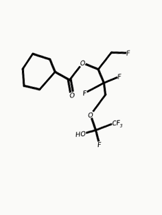 O=C(OC(CF)C(F)(F)COC(O)(F)C(F)(F)F)C1CCCCC1